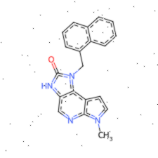 Cn1ccc2c1ncc1[nH]c(=O)n(Cc3cccc4ccccc34)c12